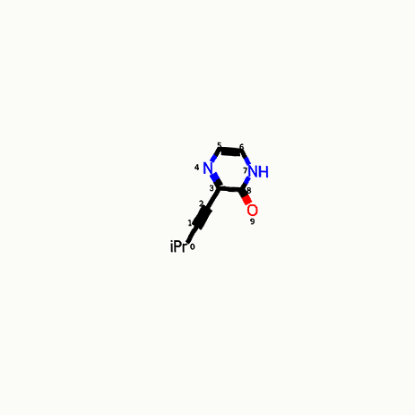 CC(C)C#Cc1ncc[nH]c1=O